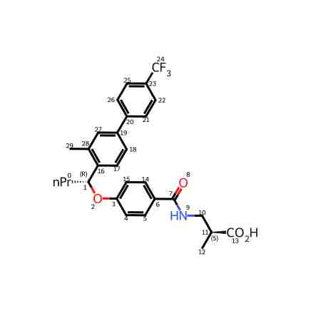 CCC[C@@H](Oc1ccc(C(=O)NC[C@H](C)C(=O)O)cc1)c1ccc(-c2ccc(C(F)(F)F)cc2)cc1C